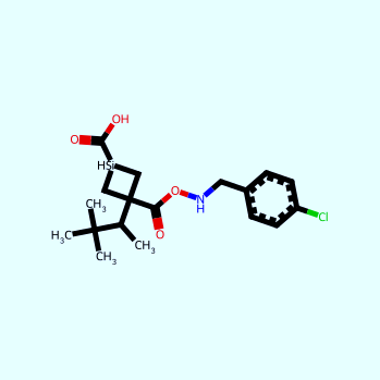 CC(C(C)(C)C)C1(C(=O)ONCc2ccc(Cl)cc2)C[SiH](C(=O)O)C1